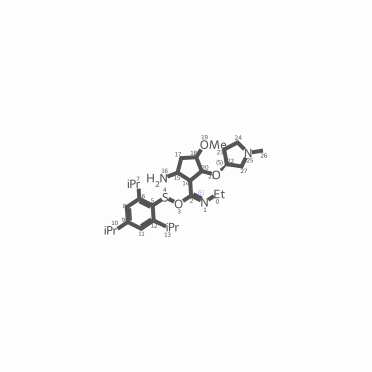 CC/N=C(/OSc1c(C(C)C)cc(C(C)C)cc1C(C)C)C1C(N)CC(OC)C1O[C@H]1CCN(C)C1